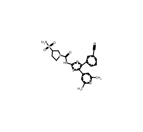 Cc1cc(-c2sc(NC(=O)N3CCC(S(N)(=O)=O)C3)nc2-c2cccc(C#N)c2)cc(C)n1